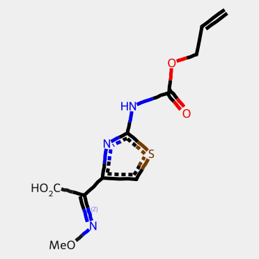 C=CCOC(=O)Nc1nc(/C(=N/OC)C(=O)O)cs1